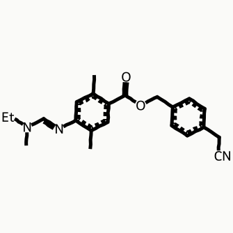 CCN(C)/C=N/c1cc(C)c(C(=O)OCc2ccc(CC#N)cc2)cc1C